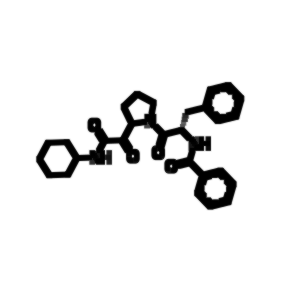 O=C(NC1CCCCC1)C(=O)C1CCCN1C(=O)[C@H](Cc1ccccc1)NC(=O)c1ccccc1